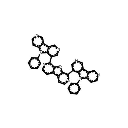 c1ccc(-n2c3ccncc3c3cncc(-c4nccc5c4oc4c(-c6cncc7c8cnccc8n(-c8ccccc8)c67)nccc45)c32)cc1